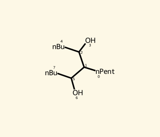 CCCCCC(C(O)CCCC)C(O)CCCC